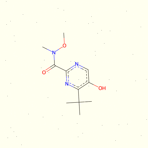 CON(C)C(=O)c1ncc(O)c(C(C)(C)C)n1